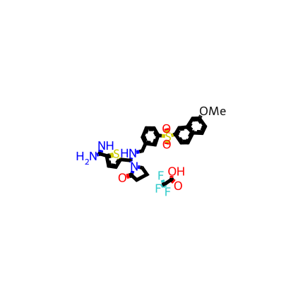 COc1ccc2ccc(S(=O)(=O)c3cccc(CNC(c4ccc(C(=N)N)s4)N4CCCC4=O)c3)cc2c1.O=C(O)C(F)(F)F